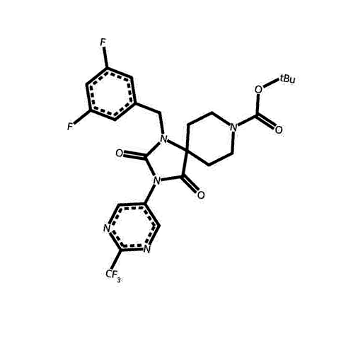 CC(C)(C)OC(=O)N1CCC2(CC1)C(=O)N(c1cnc(C(F)(F)F)nc1)C(=O)N2Cc1cc(F)cc(F)c1